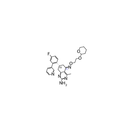 Cc1nc(N)nc2c1/C(=N/OCCOC1CCCCO1)C[C@@H](c1ccc(F)cc1-c1cccnc1)C2